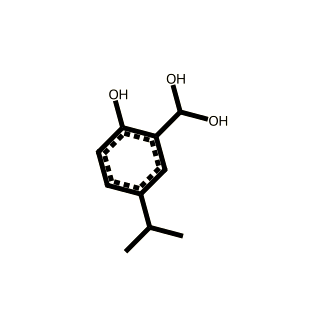 CC(C)c1ccc(O)c(C(O)O)c1